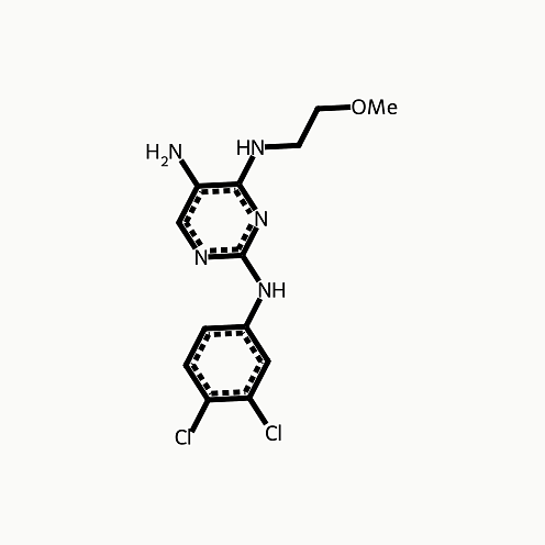 COCCNc1nc(Nc2ccc(Cl)c(Cl)c2)ncc1N